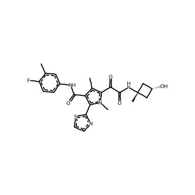 Cc1cc(NC(=O)c2c(C)c(C(=O)C(=O)N[C@]3(C)C[C@H](O)C3)n(C)c2-c2nccs2)ccc1F